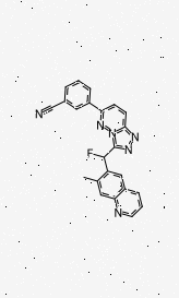 Cc1cc2ncccc2cc1C(F)c1nnc2ccc(-c3cccc(C#N)c3)nn12